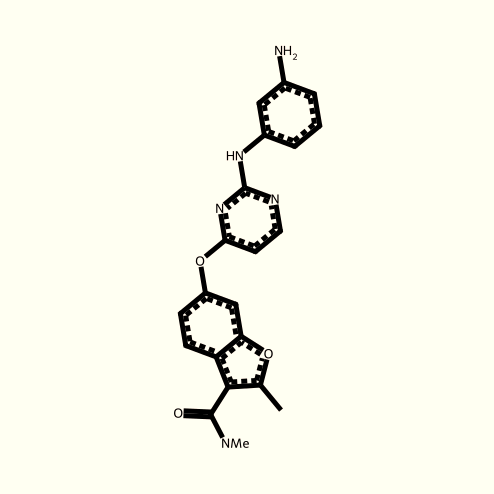 CNC(=O)c1c(C)oc2cc(Oc3ccnc(Nc4cccc(N)c4)n3)ccc12